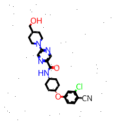 N#Cc1ccc(O[C@H]2CC[C@@H](NC(=O)c3cnc(N4CCC(CO)CC4)cn3)CC2)cc1Cl